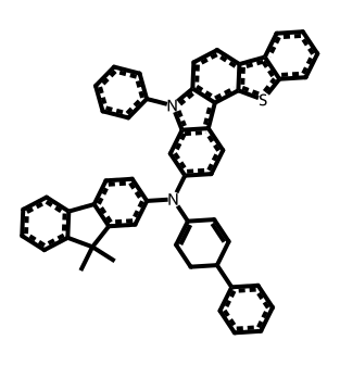 CC1(C)c2ccccc2-c2ccc(N(C3=CCC(c4ccccc4)C=C3)c3ccc4c5c6sc7ccccc7c6ccc5n(-c5ccccc5)c4c3)cc21